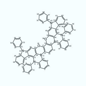 c1ccc(N2c3ccccc3B3c4ccc5c(c4Oc4cc6c(c2c43)c2ccccc2n6-c2ccccc2)Oc2cc3c(c4c2B5c2ccccc2N4c2ccccc2)c2ccccc2n3-c2ccccc2)cc1